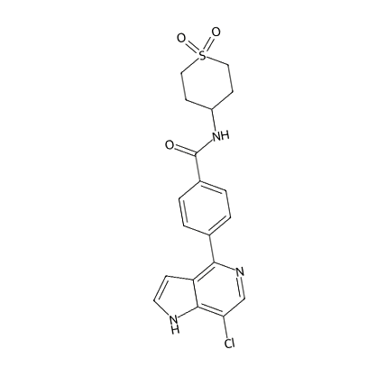 O=C(NC1CCS(=O)(=O)CC1)c1ccc(-c2ncc(Cl)c3[nH]ccc23)cc1